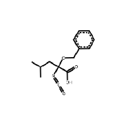 CC(C)CC(N=C=O)(OCc1ccccc1)C(=O)O